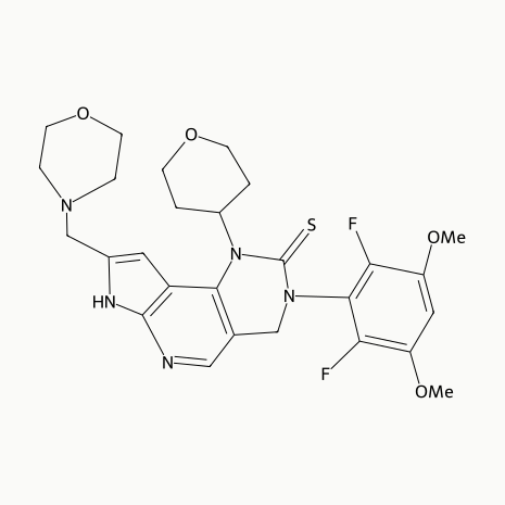 COc1cc(OC)c(F)c(N2Cc3cnc4[nH]c(CN5CCOCC5)cc4c3N(C3CCOCC3)C2=S)c1F